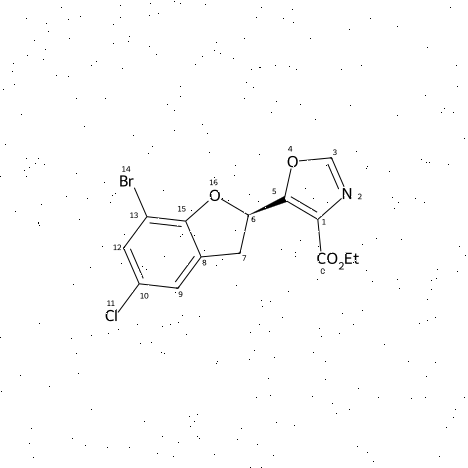 CCOC(=O)c1ncoc1[C@H]1Cc2cc(Cl)cc(Br)c2O1